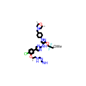 COCC(F)(F)COc1nn(C2CCC(/C=[N+]3\C[C@@H](C)O[C@@H](C)C3)CC2)cc1Nc1ncc(-c2ccc(Cl)c(O[C@@H](C)CN/C=N\C=N)c2)cn1